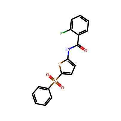 O=C(Nc1ccc(S(=O)(=O)c2ccccc2)s1)c1ccccc1F